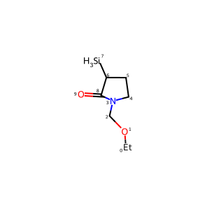 CCOCN1CCC([SiH3])C1=O